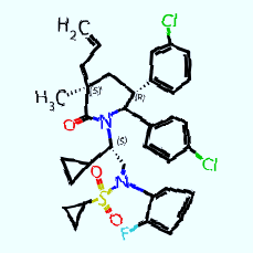 C=CC[C@@]1(C)C[C@H](c2cccc(Cl)c2)C(c2ccc(Cl)cc2)N([C@H](CN(c2ccccc2F)S(=O)(=O)C2CC2)C2CC2)C1=O